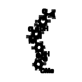 COc1cccc(S(=O)(=O)Nc2ccc(-n3ncc4c(=O)n(CC5(O)CCN(C(=O)C6CC6)CC5)cnc43)cc2)c1